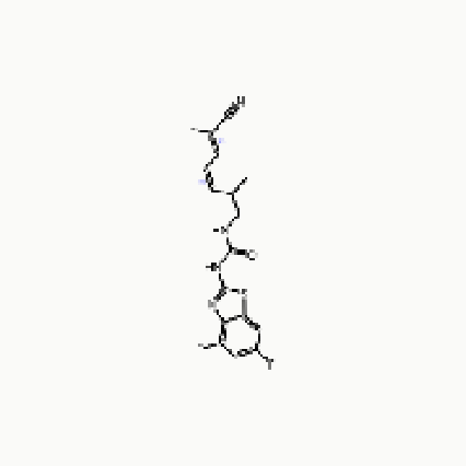 C/C(C#N)=C\C=C/C(C)CNC(=O)Nc1nc2c(F)cc(F)cc2s1